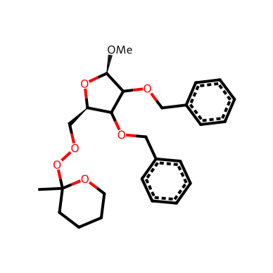 CO[C@@H]1O[C@H](COOC2(C)CCCCO2)C(OCc2ccccc2)C1OCc1ccccc1